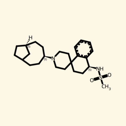 CS(=O)(=O)N[C@H]1CCC2(CCN([C@H]3CCC4CC[C@@H](CC3)C4)CC2)c2ccccc21